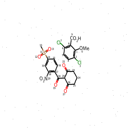 COc1c(Cl)ccc(Cl)c1C(=O)O.CS(=O)(=O)c1ccc(C(=O)C2C(=O)CCCC2=O)c([N+](=O)[O-])c1